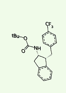 CC(C)(C)OC(=O)N[C@H]1Cc2ccccc2[C@H]1Cc1ccc(C(F)(F)F)cc1